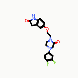 O=C1Cc2cc(OCCN3CCN(c4ccc(F)c(F)c4)CC3=O)ccc2N1